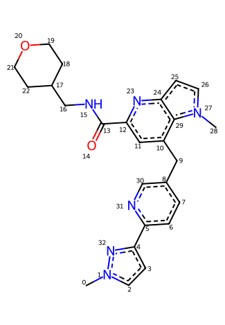 Cn1ccc(-c2ccc(Cc3cc(C(=O)NCC4CCOCC4)nc4ccn(C)c34)cn2)n1